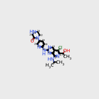 CC(C)Nc1nc(C(C)O)c(Cl)c2cnc(Nc3ccc(N4CCNCC4=O)cn3)nc12